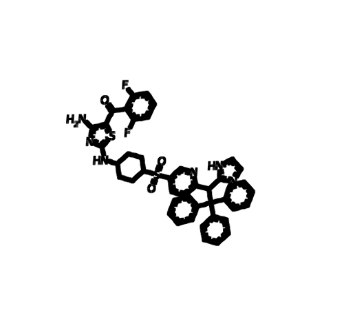 Nc1nc(NC2CCC(S(=O)(=O)c3ccc(C(c4ncc[nH]4)C(c4ccccc4)(c4ccccc4)c4ccccc4)nc3)CC2)sc1C(=O)c1c(F)cccc1F